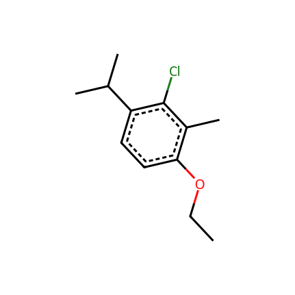 CCOc1ccc(C(C)C)c(Cl)c1C